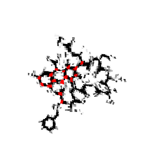 CC(C)C[C@H](NC(=O)CNC(=O)[C@H](Cc1ccccc1)N(C)C(=O)[C@H](C)NC(=O)[C@H](C)NC(=O)OC(C)(C)C)C(=O)N[C@@H](C)C(=O)N[C@H](C(=O)N[C@@H](Cc1ccccc1)C(=O)N[C@@H](CC(=O)OSCc1ccccc1)C(=O)N(C)[C@@H](C)C(=O)N[C@@H](COC(C)(C)C)C(=O)NCC(N)=O)C(C)C